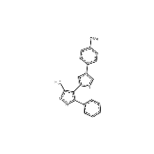 COc1ccc(-n2cnc(-c3c(-c4ccccc4)noc3C)c2)cc1